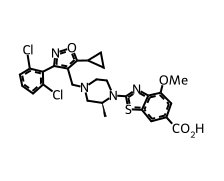 COc1cc(C(=O)O)cc2sc(N3CCN(Cc4c(-c5c(Cl)cccc5Cl)noc4C4CC4)C[C@@H]3C)nc12